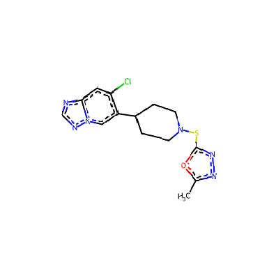 Cc1nnc(SN2CCC(c3cn4ncnc4cc3Cl)CC2)o1